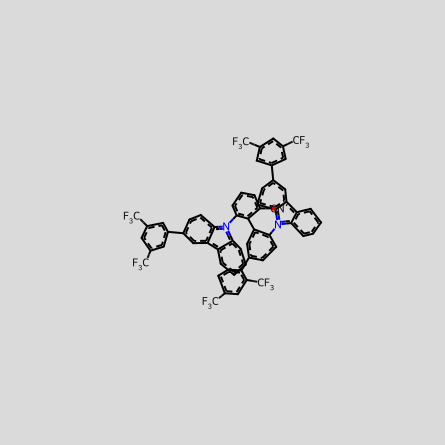 N#Cc1cccc(-n2c3ccccc3c3cc(-c4cc(C(F)(F)F)cc(C(F)(F)F)c4)ccc32)c1-c1cc(-c2ccc(C(F)(F)F)cc2C(F)(F)F)ccc1-n1c2ccccc2c2cc(-c3cc(C(F)(F)F)cc(C(F)(F)F)c3)ccc21